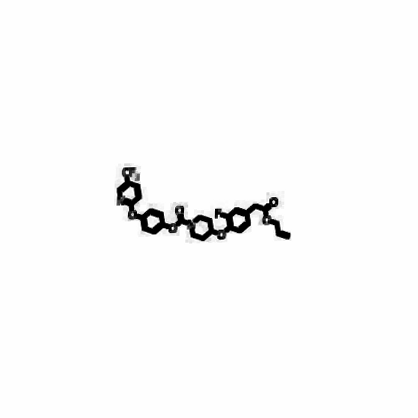 C=CCOC(=O)Cc1ccc(OC2CCN(C(=O)Oc3ccc(Oc4ccc(C(F)(F)F)cn4)cc3)CC2)c(F)c1